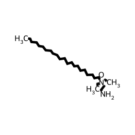 CCCCCCCCCCCCCCCCCCCCCC(=O)[N+](CC)(CC)CCN